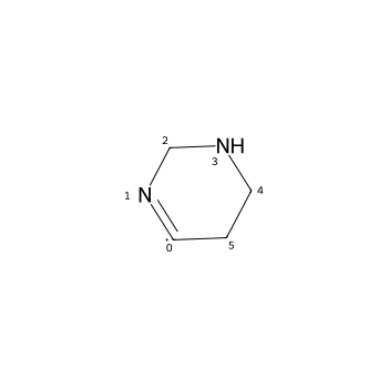 [C]1=NCNCC1